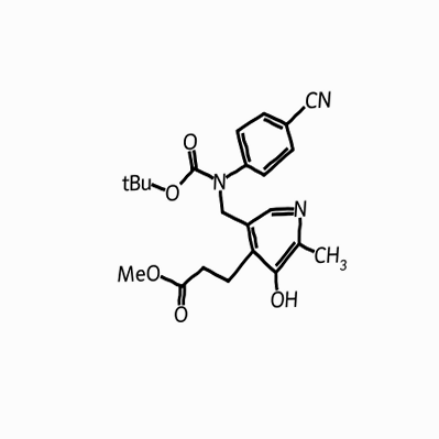 COC(=O)CCc1c(CN(C(=O)OC(C)(C)C)c2ccc(C#N)cc2)cnc(C)c1O